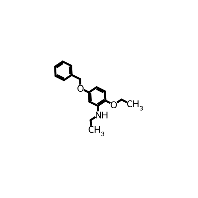 CCNc1cc(OCc2ccccc2)ccc1OCC